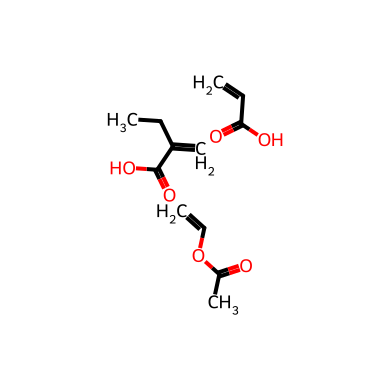 C=C(CC)C(=O)O.C=CC(=O)O.C=COC(C)=O